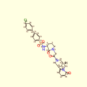 O=C(CN1CCC[C@H](NS(=O)(=O)c2ccc(-c3ccc(Cl)cc3)cc2)C1=O)N1CC2C[C@@H](C1)Cn1c2cccc1=O